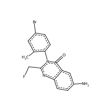 Cc1cc(Br)ccc1-n1c(CF)nc2ccc(N)cc2c1=O